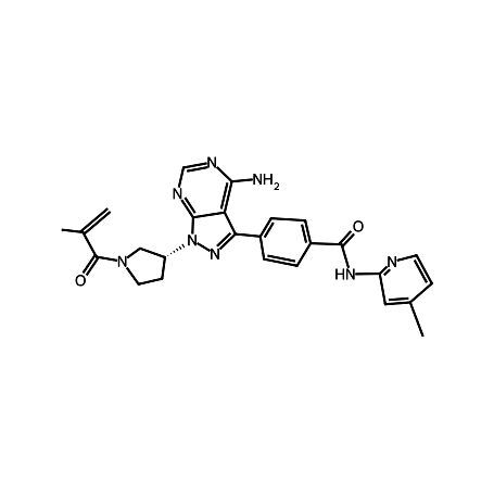 C=C(C)C(=O)N1CC[C@@H](n2nc(-c3ccc(C(=O)Nc4cc(C)ccn4)cc3)c3c(N)ncnc32)C1